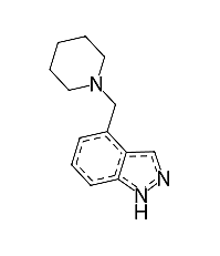 c1cc(CN2CCCCC2)c2cn[nH]c2c1